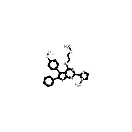 COCCNc1nc(-c2nccn2C)nc2sc(-c3ccccc3)c(-c3ccc(OC)cc3)c12